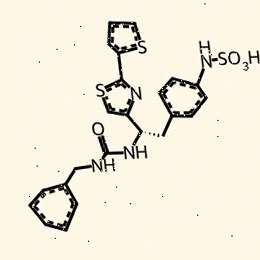 O=C(NCc1ccccc1)N[C@@H](Cc1ccc(NS(=O)(=O)O)cc1)c1csc(-c2cccs2)n1